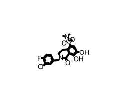 CN(C)S(=O)(=O)c1cc(O)c(O)c2c1CCN(Cc1ccc(F)c(Cl)c1)C2=O